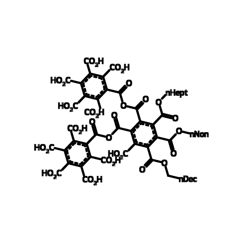 CCCCCCCCCCCOC(=O)c1c(C(=O)O)c(C(=O)OC(=O)c2c(C(=O)O)c(C(=O)O)c(C(=O)O)c(C(=O)O)c2C(=O)O)c(C(=O)OC(=O)c2c(C(=O)O)c(C(=O)O)c(C(=O)O)c(C(=O)O)c2C(=O)O)c(C(=O)OCCCCCCC)c1C(=O)OCCCCCCCCC